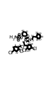 Clc1ccc(COC(Cn2cc[n+](CCc3ccccc3)c2)c2ccc(Cl)cc2Cl)c(Cl)c1.NS(=O)(=O)OC1CCCCC1